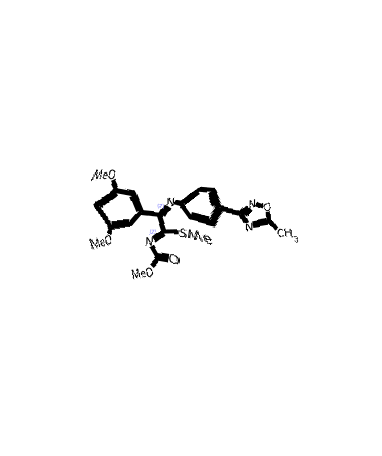 COC(=O)/N=C(SC)/C(=N\c1ccc(-c2noc(C)n2)cc1)c1cc(OC)cc(OC)c1